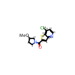 COC1CCN(C(=O)c2cc3nccc(Cl)c3s2)C1